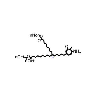 CCCCCCCCCOC(=O)CCCCCCC/C(=C\CCCCc1ccc(N)c(C)c(=O)c1)CCCCCCCCC(=O)OC(CCCCCCCC)CCCCCCCC